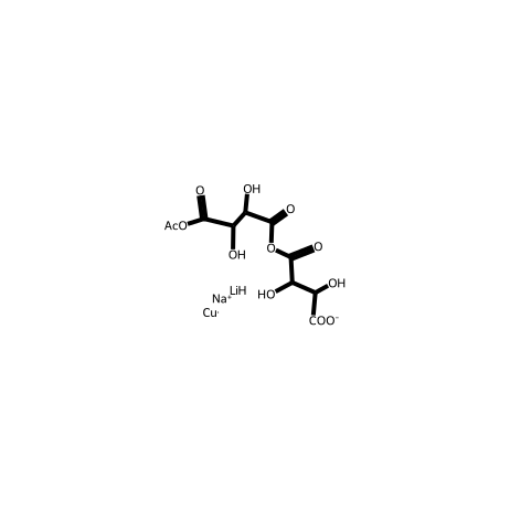 CC(=O)OC(=O)C(O)C(O)C(=O)OC(=O)C(O)C(O)C(=O)[O-].[Cu].[LiH].[Na+]